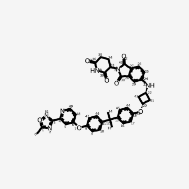 Cc1nc(-c2cc(Oc3ccc(C(C)(C)c4ccc(O[C@H]5C[C@H](Nc6ccc7c(c6)C(=O)N(C6CCC(=O)NC6=O)C7=O)C5)cc4)cc3)ccn2)no1